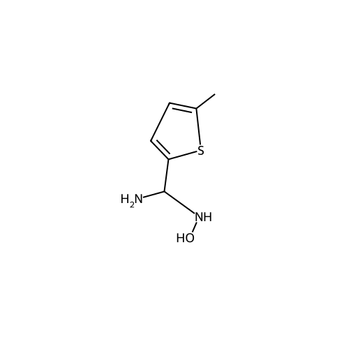 Cc1ccc(C(N)NO)s1